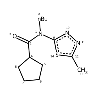 CCCCN(C(=O)C1CCCC1)c1nnc(C)s1